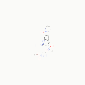 CCCN(OCCNC(=O)OC(C)(C)C)C(=O)C1=Cc2ccc(C(=O)N3CCCCC3)cc2N=C(N)C1